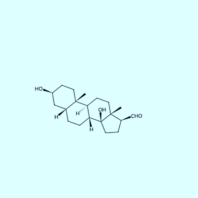 C[C@]12CC[C@H](O)C[C@H]1CC[C@@H]1[C@@H]2CC[C@]2(C)[C@@H](C=O)CC[C@]12O